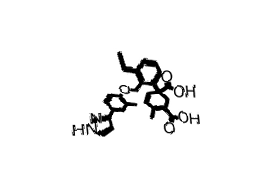 CCc1cccc(C2(C(=O)O)C=CC(C)=C(C(=O)O)C2)c1COc1ccc(-c2cc[nH]n2)cc1C